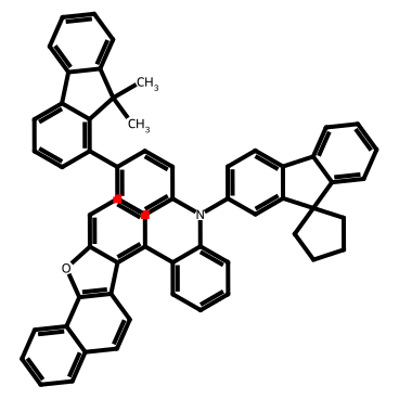 CC1(C)c2ccccc2-c2cccc(-c3ccc(N(c4ccc5c(c4)C4(CCCC4)c4ccccc4-5)c4ccccc4-c4cccc5oc6c7ccccc7ccc6c45)cc3)c21